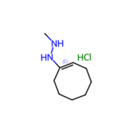 CNN/C1=C/CCCCCC1.Cl